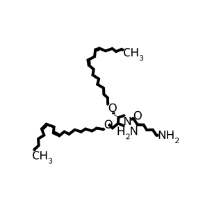 CCCCC/C=C\C/C=C\CCCCCCCCOCC1CN(C(=O)[C@@H](N)CCCCN)C[C@H]1COCCCCCCCC/C=C\C/C=C\CCCCC